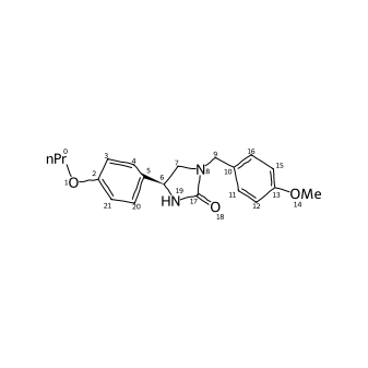 CCCOc1ccc([C@H]2CN(Cc3ccc(OC)cc3)C(=O)N2)cc1